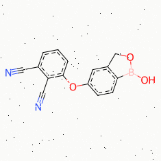 N#Cc1cccc(Oc2ccc3c(c2)COB3O)c1C#N